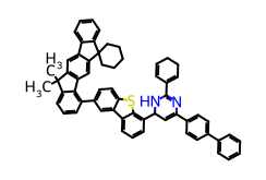 CC1(C)c2cc3c(cc2-c2c(-c4ccc5sc6c(C7C=C(c8ccc(-c9ccccc9)cc8)N=C(C8=CCCC=C8)N7)cccc6c5c4)cccc21)C1(CCCCC1)c1ccccc1-3